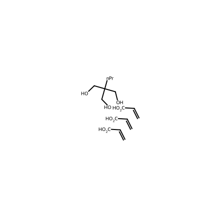 C=CC(=O)O.C=CC(=O)O.C=CC(=O)O.CCCC(CO)(CO)CO